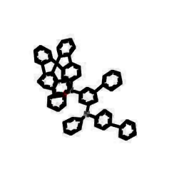 c1ccc(-c2ccc(N(c3ccccc3)c3cc(-c4ccccc4)cc(N(c4ccccc4)c4ccc5c(c4)C4(c6ccccc6-5)c5ccccc5-c5ccc6ccccc6c54)c3)cc2)cc1